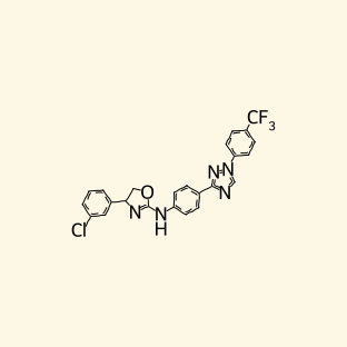 FC(F)(F)c1ccc(-n2cnc(-c3ccc(NC4=NC(c5cccc(Cl)c5)CO4)cc3)n2)cc1